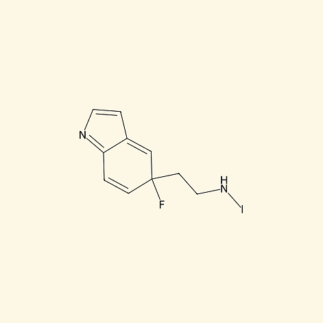 FC1(CCNI)C=CC2=NC=CC2=C1